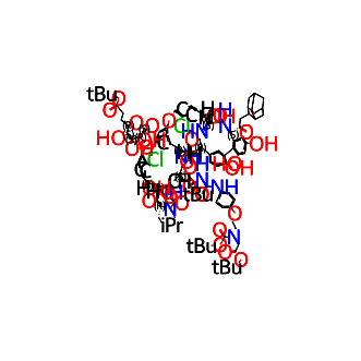 CC(C)C[C@H](C(=O)N[C@H]1C(=O)C[C@@H](CC(=O)NC(=O)Nc2ccc(OCCN(CC(=O)OC(C)(C)C)C(=O)OC(C)(C)C)cc2)C(=O)N[C@H]2C(=O)C[C@H]3C(=O)N[C@H](C(=O)N[C@H](C(=O)CC4C5CC6CC(C5)CC4C6)c4cc(O)cc(O)c4-c4cc3ccc4O)[C@H](O)c3ccc(c(Cl)c3)Oc3cc2cc(c3O[C@@H]2O[C@H](CCC(=O)OC(C)(C)C)[C@@H](O)[C@H](O)[C@H]2O)Oc2ccc(cc2Cl)[C@H]1O)N(C)C(=O)OC(C)(C)C